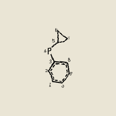 c1ccc([P]C2CC2)cc1